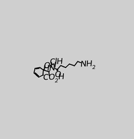 CC(NC(=O)CCCCCN)C1(O)C=CC=CC1C(=O)O.Cl